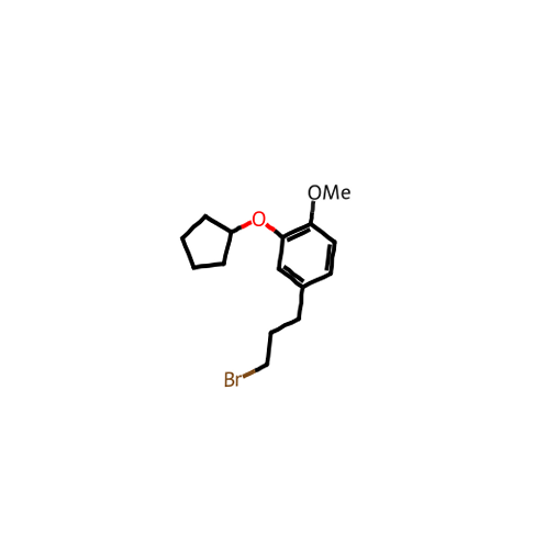 COc1ccc(CCCBr)cc1OC1CCCC1